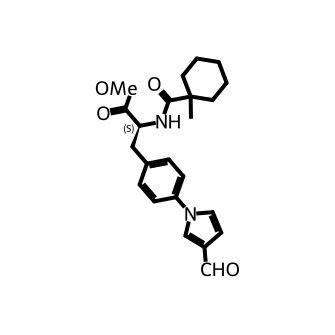 COC(=O)[C@H](Cc1ccc(-n2ccc(C=O)c2)cc1)NC(=O)C1(C)CCCCC1